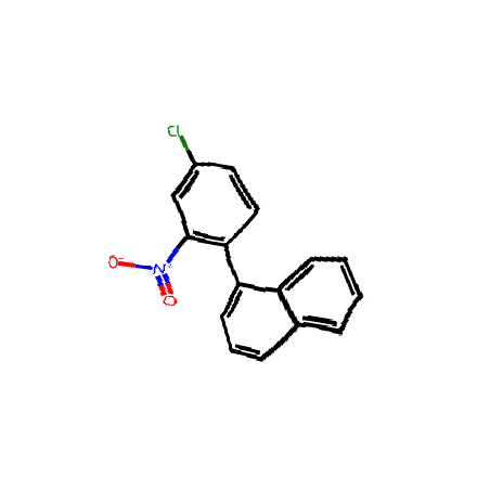 O=[N+]([O-])c1cc(Cl)ccc1-c1cccc2ccccc12